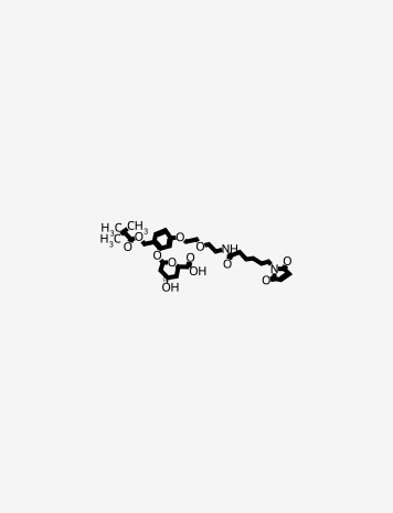 CC(C)(C)C(=O)OCc1ccc(OCCOCCNC(=O)CCCCCN2C(=O)C=CC2=O)cc1OC1C[C@@H](O)CC(C(=O)O)O1